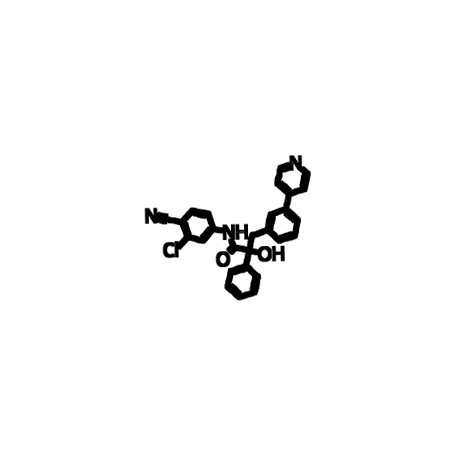 N#Cc1ccc(NC(=O)C(O)(Cc2cccc(-c3ccncc3)c2)c2ccccc2)cc1Cl